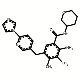 Cc1c(Cc2ccc(-n3ccnc3)nc2)cc(C(=O)NC2CCCOC2)c(N)c1C